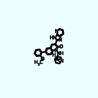 COc1ccccc1-c1ccc2c(c1)cc(-c1nc3cccnc3[nH]1)c(=O)n2N[C@H]1CN2CCC1CC2